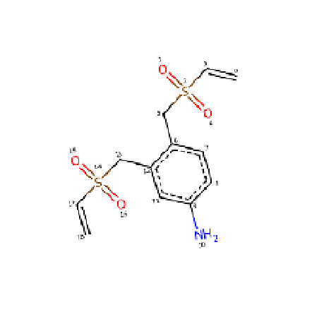 C=CS(=O)(=O)Cc1ccc(N)cc1CS(=O)(=O)C=C